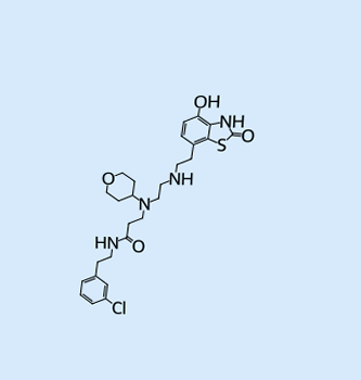 O=C(CCN(CCNCCc1ccc(O)c2[nH]c(=O)sc12)C1CCOCC1)NCCc1cccc(Cl)c1